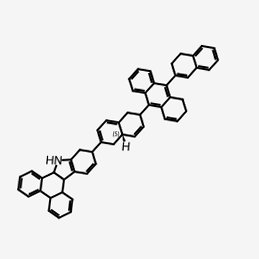 C1=CC2c3ccccc3C3NC4=C(C=CC(C5=CC=C6CC(c7c8c(c(C9=Cc%10ccccc%10CC9)c9ccccc79)CCC=C8)C=C[C@@H]6C5)C4)C3C2C=C1